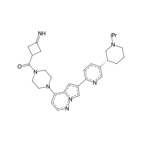 CC(C)N1CCC[C@H](c2ccc(-c3cc4c(N5CCN(C(=O)C6CC(=N)C6)CC5)ccnn4c3)nc2)C1